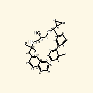 Cc1ccccc1-c1cccc(C(OC[C@H](O)CNC(C)(C)Cc2ccc3ccccc3c2)C2CC2)c1